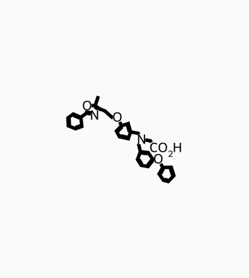 Cc1oc(-c2ccccc2)nc1CCOc1cccc(CN(CC(=O)O)Cc2cccc(Oc3ccccc3)c2)c1